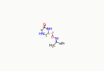 C/C(=N\OC[C@@H]1CNCC(=O)N1)C(C)C